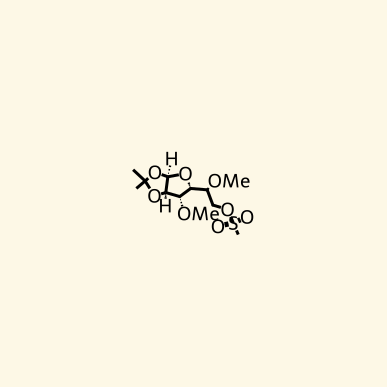 CO[C@@H]1[C@H]2OC(C)(C)O[C@H]2O[C@@H]1[C@@H](COS(C)(=O)=O)OC